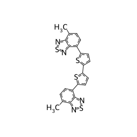 Cc1ccc(-c2ccc(-c3ccc(-c4ccc(C)c5nsnc45)s3)s2)c2nsnc12